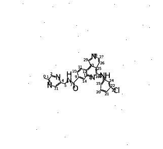 Cc1cnc(CNC(=O)c2ccc3c(c2)nc(Nc2cccc(Cl)c2)c2ccncc23)cn1